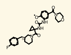 COc1ccc(C(=O)N2CCOCC2)cc1NC(=O)NC1(C(=O)N2CCC[C@@H](Cc3ccc(F)cc3)C2)CC1